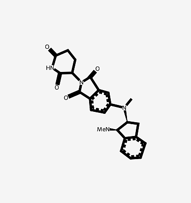 CN[C@@H]1c2ccccc2C[C@@H]1N(C)c1ccc2c(c1)C(=O)N(C1CCC(=O)NC1=O)C2=O